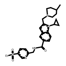 CCS(=O)(=O)c1ccc(CNC(=O)c2ccc3c(c2)cc(CN2CCC(C)CC2)n3C2CC2)nc1